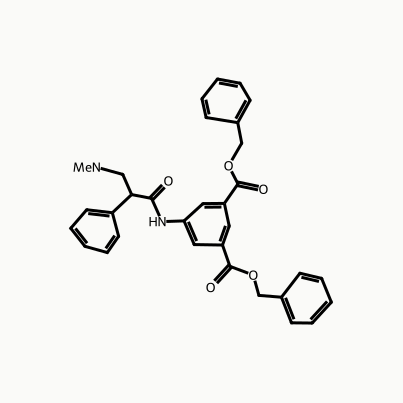 CNCC(C(=O)Nc1cc(C(=O)OCc2ccccc2)cc(C(=O)OCc2ccccc2)c1)c1ccccc1